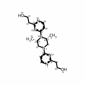 C[C@@H]1CN(c2ccnc(CCO)n2)C[C@H](C)N1c1ccnc(CCO)n1